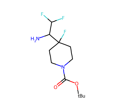 CC(C)(C)OC(=O)N1CCC(F)(C(N)C(F)F)CC1